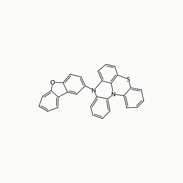 c1ccc2c(c1)Sc1cccc3c1N2c1ccccc1N3c1ccc2oc3ccccc3c2c1